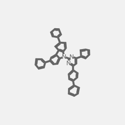 c1ccc(-c2ccc(-c3cc(-c4ccccc4)nc(-n4c5ccc(-c6ccccc6)cc5c5cc(-c6ccccc6)ccc54)n3)cc2)cc1